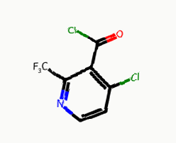 O=C(Cl)c1c(Cl)ccnc1C(F)(F)F